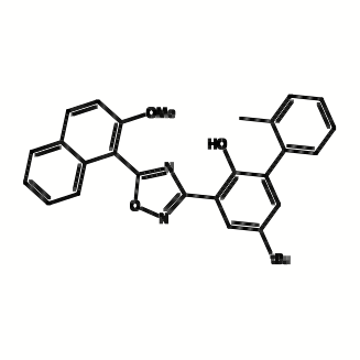 COc1ccc2ccccc2c1-c1nc(-c2cc(C(C)(C)C)cc(-c3ccccc3C)c2O)no1